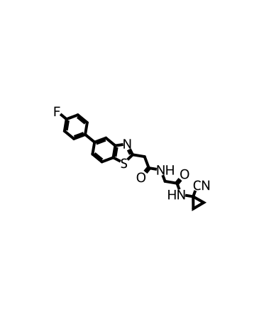 N#CC1(NC(=O)CNC(=O)Cc2nc3cc(-c4ccc(F)cc4)ccc3s2)CC1